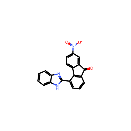 O=C1c2cc([N+](=O)[O-])ccc2-c2c1cccc2-c1nc2ccccc2[nH]1